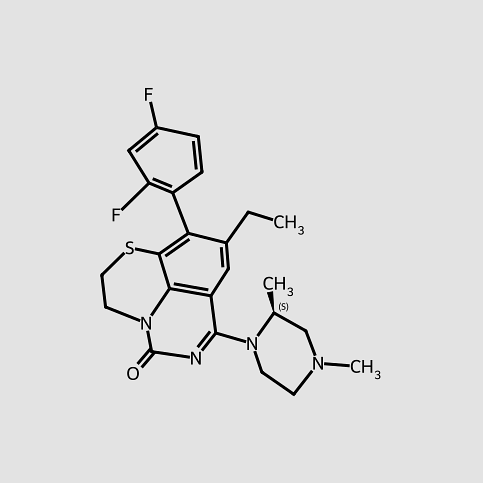 CCc1cc2c(N3CCN(C)C[C@@H]3C)nc(=O)n3c2c(c1-c1ccc(F)cc1F)SCC3